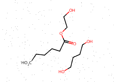 O=C(O)CCCCC(=O)OCCO.OCCCCO